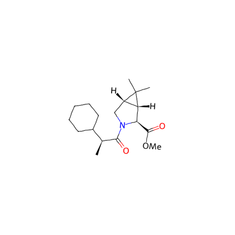 COC(=O)[C@@H]1[C@@H]2[C@H](CN1C(=O)[C@@H](C)C1CCCCC1)C2(C)C